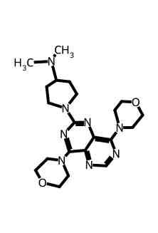 CN(C)C1CCN(c2nc(N3CCOCC3)c3ncnc(N4CCOCC4)c3n2)CC1